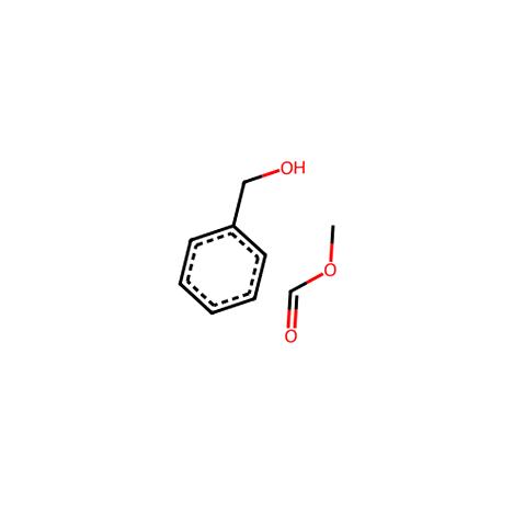 COC=O.OCc1ccccc1